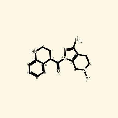 CC(=O)N1CCc2c(N)nn(C(=O)C3CCNc4ccccc43)c2C1